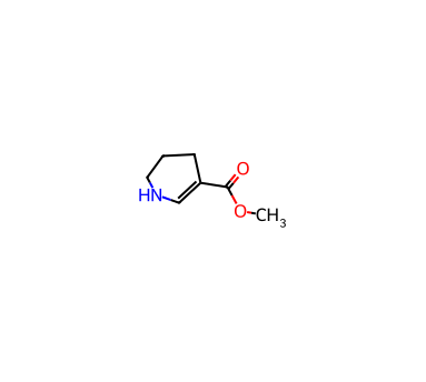 COC(=O)C1=CNCCC1